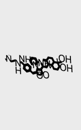 C=C1CCC2[C@](C)(CC[C@@H](O)[C@@]2(C)CO)C1CC(Nc1ccccn1)C1=C/C(=C\c2ccc(C(=N)NCCN(C)C)cc2)OC1=O